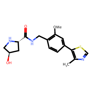 COc1cc(-c2scnc2C)ccc1CNC(=O)[C@@H]1C[C@@H](O)CN1